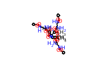 COc1cc(-c2c3c4cc(OC)c(OC(=O)[C@@H](N)CCCCNC(=O)OCc5ccccc5)cc4oc(=O)c3n3ccc4c(OC(=O)[C@@H](N)CCCCNC(=O)OCc5ccccc5)c(OC)c(OC)cc4c23)ccc1OC(=O)[C@@H](N)CCCCNC(=O)OCc1ccccc1